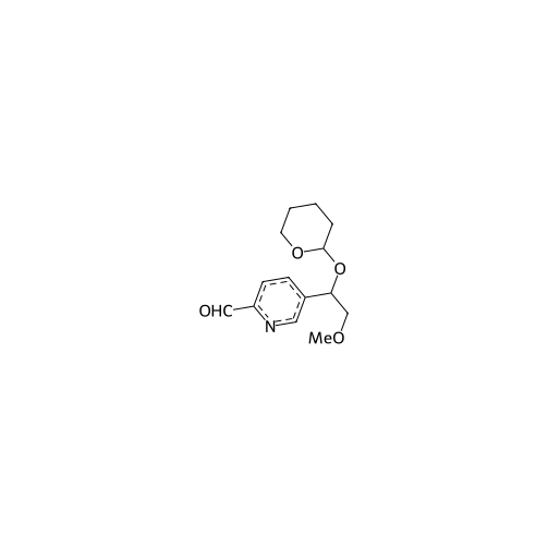 COCC(OC1CCCCO1)c1ccc(C=O)nc1